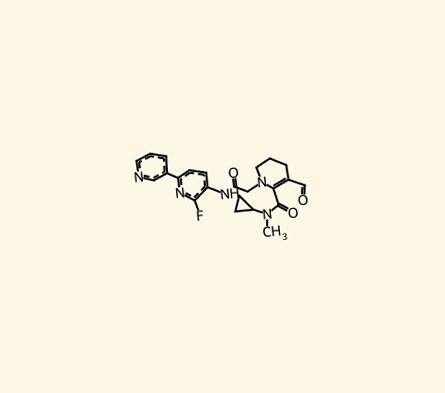 CN(C(=O)C1=C(C=O)CCCN1CC(=O)Nc1ccc(-c2cccnc2)nc1F)C1CC1